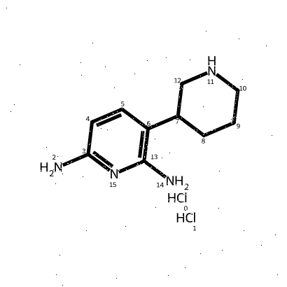 Cl.Cl.Nc1ccc(C2CCCNC2)c(N)n1